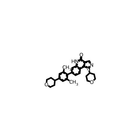 Cc1cc(C2CCOCC2)cc(C)c1-c1ccc2c(c1)[nH]c(=O)c1cnn(C3CCOCC3)c12